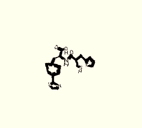 O=C(N[C@@H](Cc1ccc(-c2nccs2)cc1)C(=O)O)C(CS)Cc1cccs1